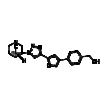 OCc1ccc(-c2coc(-c3cn([C@H]4CN5CCC4CC5)nn3)c2)cc1